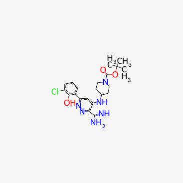 CC(C)(C)OC(=O)N1CCC(Nc2cc(-c3cccc(Cl)c3O)nnc2C(=N)N)CC1